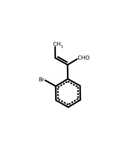 CC=C(C=O)c1ccccc1Br